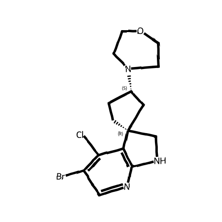 Clc1c(Br)cnc2c1[C@]1(CC[C@H](N3CCOCC3)C1)CN2